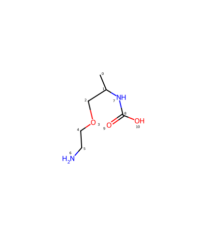 CC(COCCN)NC(=O)O